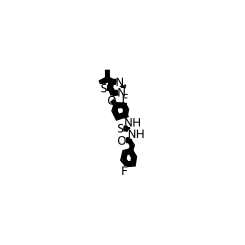 Cc1csc2c(Oc3ccc(NC(=S)NC(=O)Cc4ccc(F)cc4)cc3F)ncnc12